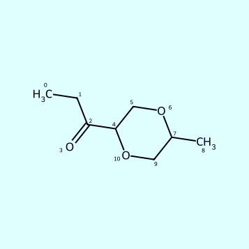 CCC(=O)C1COC(C)CO1